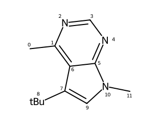 Cc1ncnc2c1c(C(C)(C)C)cn2C